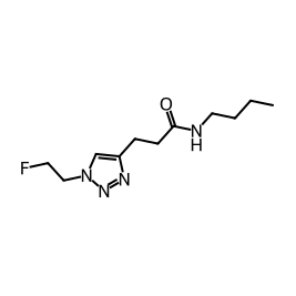 CCCCNC(=O)CCc1cn(CCF)nn1